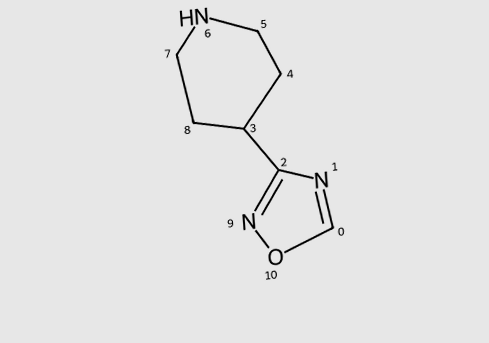 c1nc(C2CCNCC2)no1